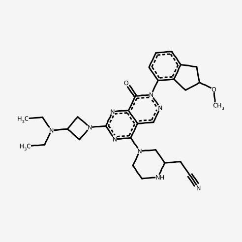 CCN(CC)C1CN(c2nc(N3CCNC(CC#N)C3)c3cnn(-c4cccc5c4CC(OC)C5)c(=O)c3n2)C1